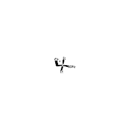 C=C[Si](CC)(CC)NC